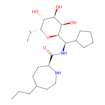 CCCC1CCN[C@H](C(=O)N[C@H](C2CCCC2)[C@H]2O[C@H](SC)[C@H](O)[C@@H](O)[C@H]2O)CC1